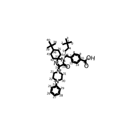 CC(C)(C)CC[C@H](c1ccc(C(=O)O)cc1)N1C(=O)C(N2CCN(c3ccccc3)CC2)=NC12CCC(C(C)(C)C)CC2